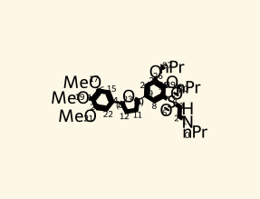 CCCNCCS(=O)(=O)c1cc([C@@H]2CC[C@@H](c3cc(OC)c(OC)c(OC)c3)O2)cc(OCCC)c1OCCC